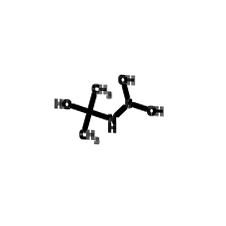 CC(C)(O)NB(O)O